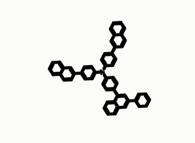 C1=CCCC(c2cc(-c3ccc(N(c4ccc(-c5ccc6ccccc6c5)cc4)c4ccc(-c5ccc6ccccc6c5)cc4)cc3)c3ccccc3c2)=C1